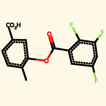 Cc1ccc(C(=O)O)cc1OC(=O)c1cc(F)cc(F)c1F